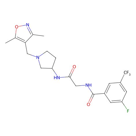 Cc1noc(C)c1CN1CCC(NC(=O)CNC(=O)c2cc(F)cc(C(F)(F)F)c2)C1